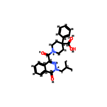 CC(C)Cn1nc(C(=O)N2CCC(C(=O)O)(c3ccccc3)CC2)c2ccccc2c1=O